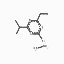 CCc1nc(Cl)nc(C(C)C)n1.NN